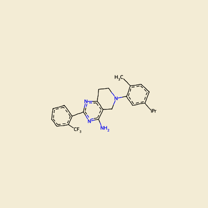 Cc1ccc(C(C)C)cc1N1CCc2nc(-c3ccccc3C(F)(F)F)nc(N)c2C1